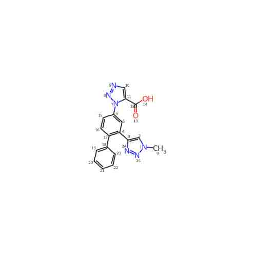 Cn1cc(-c2cc(-n3nncc3C(=O)O)ccc2-c2ccccc2)nn1